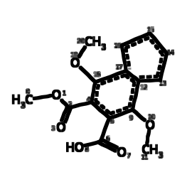 COC(=O)c1c(C(=O)O)c(OC)c2ccccc2c1OC